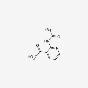 CC(C)(C)C(=O)Nc1ncccc1C(=O)C(=O)O